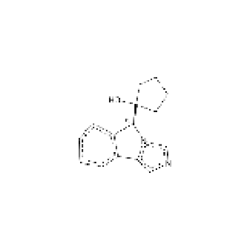 OC1([C@@H]2c3ccccc3-c3cncn32)CCCC1